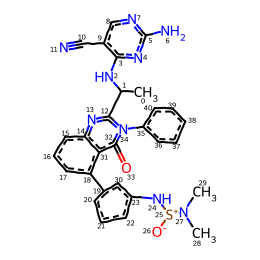 CC(Nc1nc(N)ncc1C#N)c1nc2cccc(-c3cccc(N[S+]([O-])N(C)C)c3)c2c(=O)n1-c1ccccc1